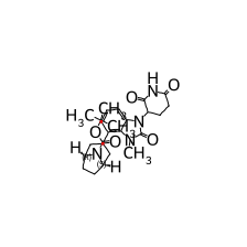 Cn1c(=O)n(C2CCC(=O)NC2=O)c2cccc(C3C[C@H]4CC[C@@H](C3)N4C(=O)OC(C)(C)C)c21